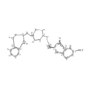 Clc1ccc2nc(NCC3CCN(CC4COc5ccccc5O4)CC3)sc2c1